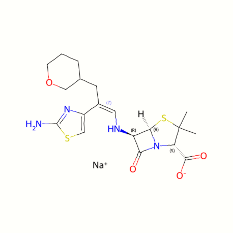 CC1(C)S[C@@H]2[C@H](N/C=C(/CC3CCCOC3)c3csc(N)n3)C(=O)N2[C@H]1C(=O)[O-].[Na+]